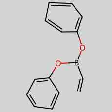 C=CB(Oc1ccccc1)Oc1ccccc1